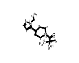 CC(C)Cn1nccc1C1CCN(C(=O)C(C)(O)C(F)(F)F)CC1